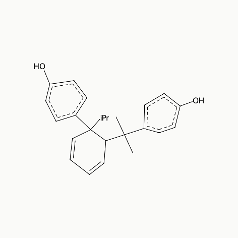 CC(C)C1(c2ccc(O)cc2)C=CC=CC1C(C)(C)c1ccc(O)cc1